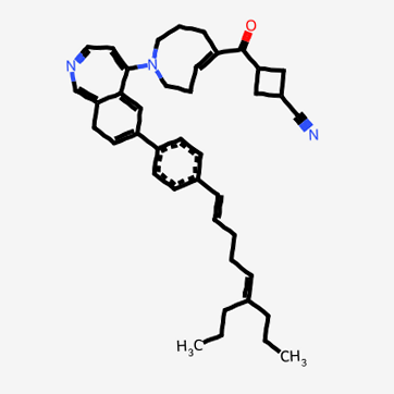 CCCC(=CCC/C=C/c1ccc(C2=CCC3=CN=CC=C(N4CC/C=C(\C(=O)C5CC(C#N)C5)CCC4)C3=C2)cc1)CCC